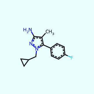 Cc1c(N)nn(CC2CC2)c1-c1ccc(F)cc1